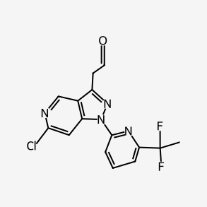 CC(F)(F)c1cccc(-n2nc(CC=O)c3cnc(Cl)cc32)n1